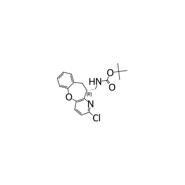 CC(C)(C)OC(=O)NC[C@H]1Cc2ccccc2Oc2ccc(Cl)nc21